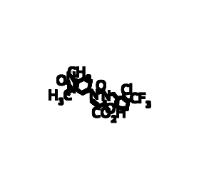 Cn1c(=O)n(C)c2cc(-n3cc(C(=O)O)c(=O)n(Cc4cccc(C(F)(F)F)c4Cl)c3=O)ccc21